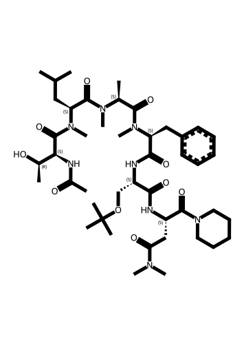 CC(=O)N[C@H](C(=O)N(C)[C@@H](CC(C)C)C(=O)N(C)[C@@H](C)C(=O)N(C)[C@@H](Cc1ccccc1)C(=O)N[C@@H](COC(C)(C)C)C(=O)N[C@@H](CC(=O)N(C)C)C(=O)N1CCCCC1)[C@@H](C)O